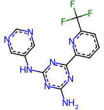 Nc1nc(Nc2cncnc2)nc(-c2cccc(C(F)(F)F)n2)n1